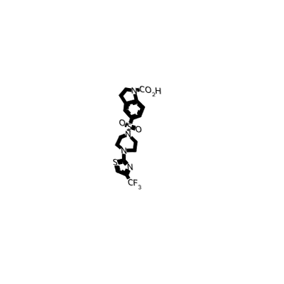 O=C(O)N1CCc2cc(S(=O)(=O)N3CCN(c4nc(C(F)(F)F)cs4)CC3)ccc21